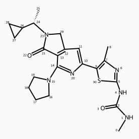 CNC(=O)Nc1nc(C)c(-c2cc3c(c(N4CCCC4)n2)C(=O)N([C@@H](C)C2CC2)C3)s1